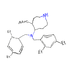 CCc1ccc(CN(Cc2ccc(CC)cc2CC)C2CCNCC2OC)c(CC)c1